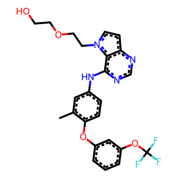 Cc1cc(Nc2ncnc3ccn(CCOCCO)c23)ccc1Oc1cccc(OC(F)(F)F)c1